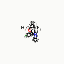 C[C@@H](O[C@H]1CC[C@@H]2CN(Cc3ccccc3)C[C@H]2[C@@H]1c1ccc(F)cc1)c1cc(C(F)(F)F)cc(C(F)(F)F)c1